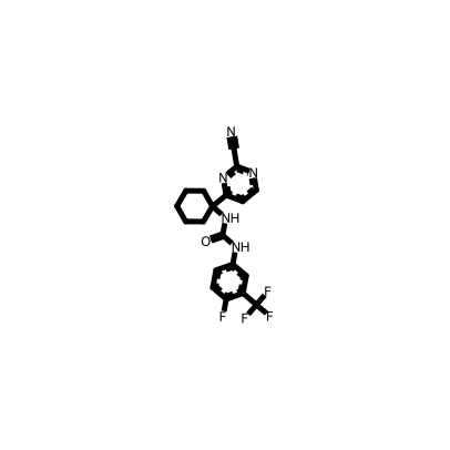 N#Cc1nccc(C2(NC(=O)Nc3ccc(F)c(C(F)(F)F)c3)CCCCC2)n1